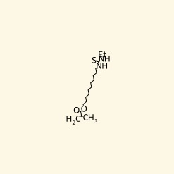 C=C(C)C(=O)OCCCCCCCCCCCNC(=S)NCC